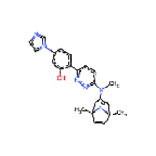 CN(c1ccc(-c2ccc(-n3ccnc3)cc2O)nn1)C1C[C@]2(C)C=C[C@](C)(C1)N2C